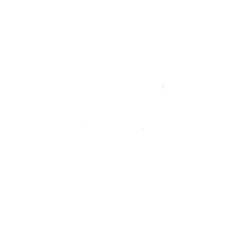 Clc1cc(Cl)c2c(c1)CCC(c1ccccc1)O2